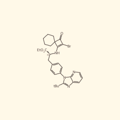 CCOC(=O)[C@H](Cc1ccc(-n2c(C(C)(C)C)nc3cccnc32)cc1)NC1=C(Br)C(=O)C12CCCCC2